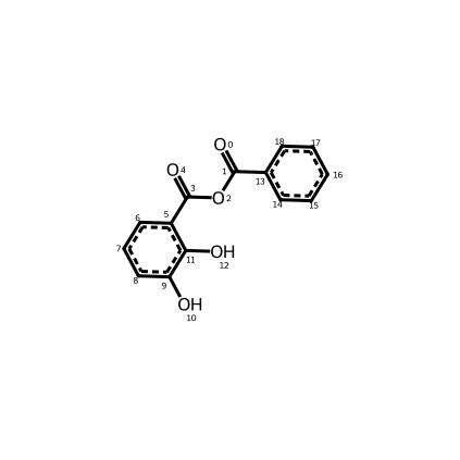 O=C(OC(=O)c1cccc(O)c1O)c1ccccc1